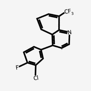 Fc1ccc(-c2[c]cnc3c(C(F)(F)F)cccc23)cc1Cl